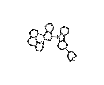 c1ccc(-c2ccc3c(c2)c2ccccc2n3-c2ccc(-c3cccc4ccc5cccnc5c34)c3ccccc23)cc1